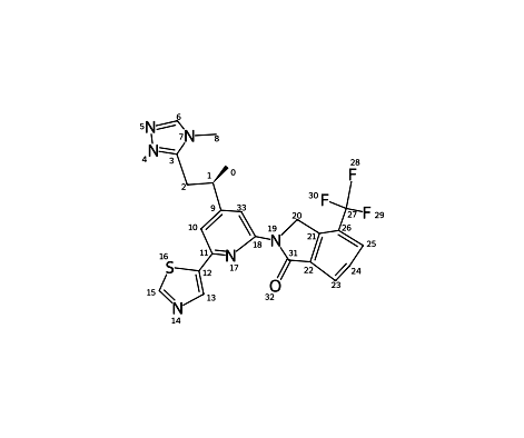 C[C@H](Cc1nncn1C)c1cc(-c2cncs2)nc(N2Cc3c(cccc3C(F)(F)F)C2=O)c1